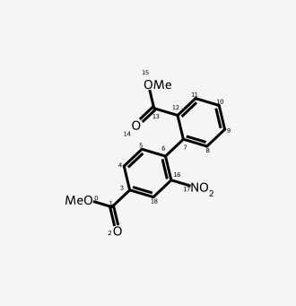 COC(=O)c1ccc(-c2ccccc2C(=O)OC)c([N+](=O)[O-])c1